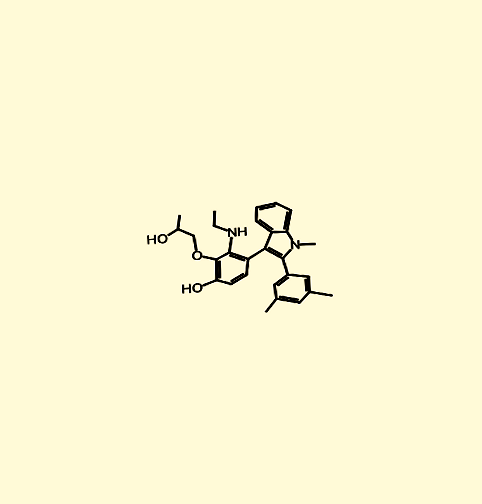 CCNc1c(-c2c(-c3cc(C)cc(C)c3)n(C)c3ccccc23)ccc(O)c1OCC(C)O